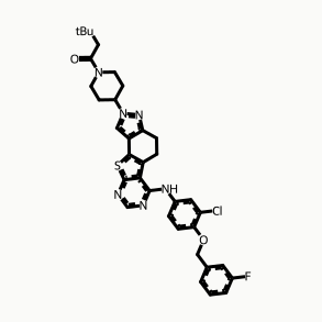 CC(C)(C)CC(=O)N1CCC(n2cc3c(n2)CCc2c-3sc3ncnc(Nc4ccc(OCc5cccc(F)c5)c(Cl)c4)c23)CC1